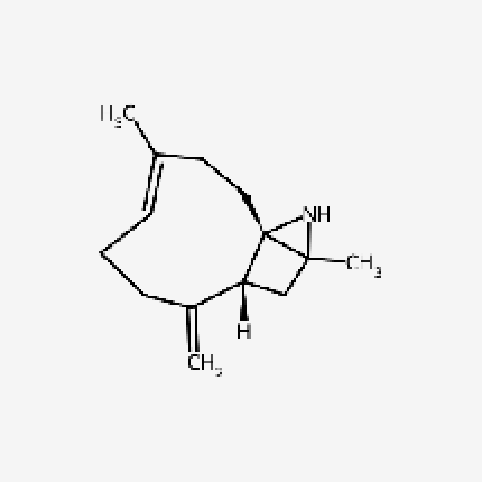 C=C1CC/C=C(\C)CC[C@@]23NC2(C)C[C@H]13